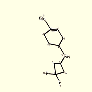 CC(C)(C)C1=CCC(NC2CC(F)(F)C2)CC1